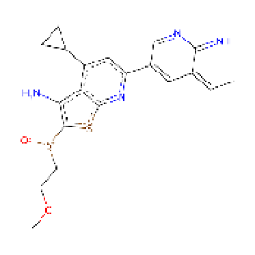 C/C=C1/C=C(c2cc(C3CC3)c3c(N)c([S+]([O-])CCOC)sc3n2)C=NC1=N